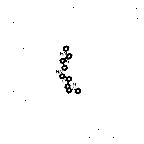 c1ccc(Nc2cccc3ccc(-c4cccc5c4oc4ccc(Nc6cccc(-c7cccc8c7sc7cccc(Nc9ccccc9)c78)c6)cc45)cc23)cc1